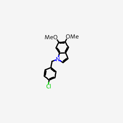 COc1cc2ccn(Cc3ccc(Cl)cc3)c2cc1OC